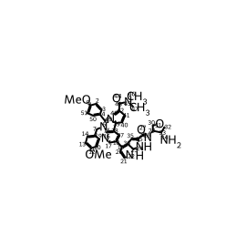 COc1ccc(CN(Cc2ccc(OC)cc2)c2ncc(-c3ccnc4[nH]c(C(=O)NC5COC[C@@H]5N)cc34)cc2-c2ccc(C(=O)N(C)C)cn2)cc1